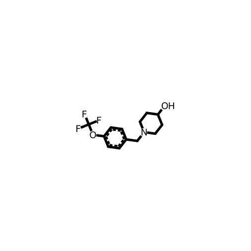 OC1CCN(Cc2ccc(OC(F)(F)F)cc2)CC1